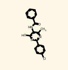 Cc1nc(-c2ccc(Cl)cc2)nc(O)c1NC(=O)c1ccccc1